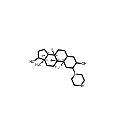 C[C@]12CC(N3CCNCC3)C(O)CC1CC[C@@H]1[C@H]2CC[C@]2(C)C(O)CC[C@@H]12